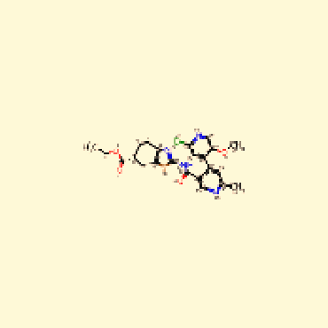 CCOC(=O)[C@@H]1CCc2nc(NC(=O)c3cnc(C)cc3-c3cc(Cl)ncc3OC)sc2C1